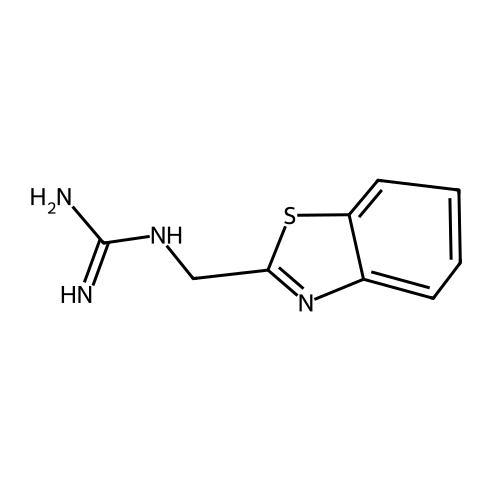 N=C(N)NCc1nc2ccccc2s1